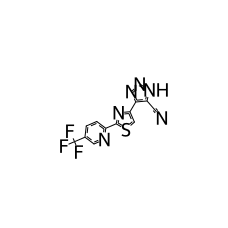 N#Cc1[nH]nnc1-c1csc(-c2ccc(C(F)(F)F)cn2)n1